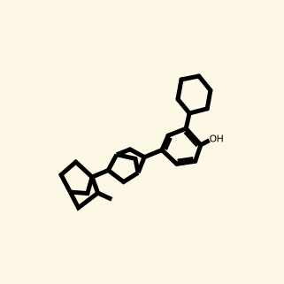 CC1CC2CCC1(C1CC3CC1CC3c1ccc(O)c(C3CCCCC3)c1)C2